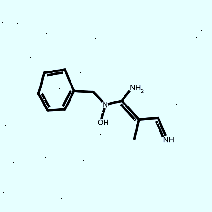 C/C(C=N)=C(/N)N(O)Cc1ccccc1